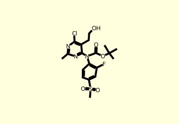 Cc1nc(Cl)c(CCO)c(N(C(=O)OC(C)(C)C)c2ccc(S(C)(=O)=O)cc2F)n1